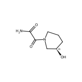 NC(=O)C(=O)N1CCC[C@@H](O)C1